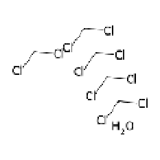 ClCCl.ClCCl.ClCCl.ClCCl.ClCCl.O